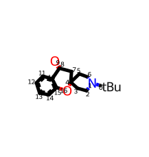 CC(C)(C)N1CCC2(CC1)CC(=O)c1ccccc1O2